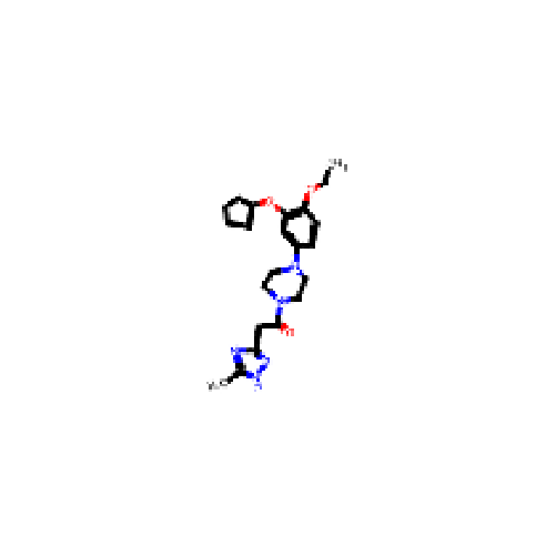 CCOc1ccc(N2CCN(C(=O)Cc3n[nH]c(C)n3)CC2)cc1OC1CCCC1